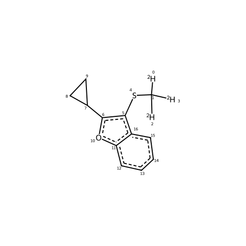 [2H]C([2H])([2H])Sc1c(C2CC2)oc2ccccc12